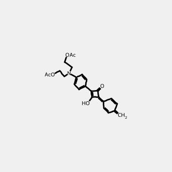 C=c1ccc(=C2C(=O)C(c3ccc(N(CCOC(C)=O)CCOC(C)=O)cc3)=C2O)cc1